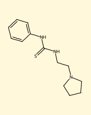 S=C(NCCN1C[CH]CC1)Nc1ccccc1